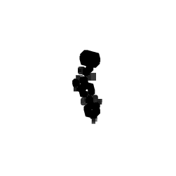 O=C(CC12CC3CC(CC(C3)C1)C2)Nc1ncnc2c1CCN(S(=O)(=O)c1ccc(F)cc1F)C2